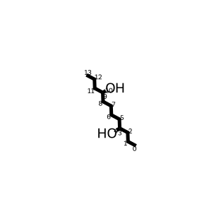 CCCC(O)CCCCC(O)CCC